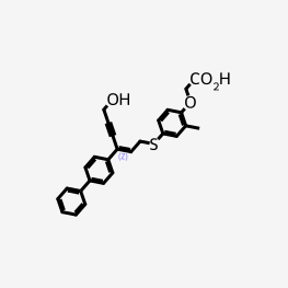 Cc1cc(SC/C=C(\C#CCO)c2ccc(-c3ccccc3)cc2)ccc1OCC(=O)O